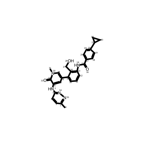 Cc1ccc(Nc2cc(-c3cccc(NC(=O)c4ccc(C5CC5)cc4)c3CO)cn(C)c2=O)nn1